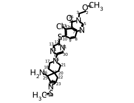 COCCn1cnc2ccc(Sc3cnc(N4CCC5(CC4)CC4=C(C5N)N4SC)cn3)c(Cl)c2c1=O